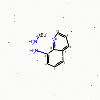 CC(C)(C)N.Nc1cccc2cccnc12